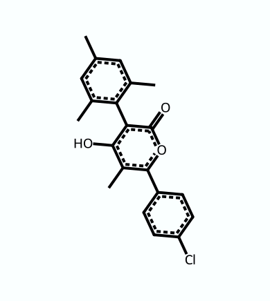 Cc1cc(C)c(-c2c(O)c(C)c(-c3ccc(Cl)cc3)oc2=O)c(C)c1